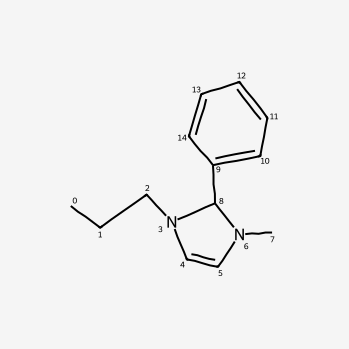 CCCN1C=CN(C)C1c1ccccc1